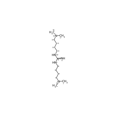 CN(C)CCCCNC(=N)NCCCCN(C)C